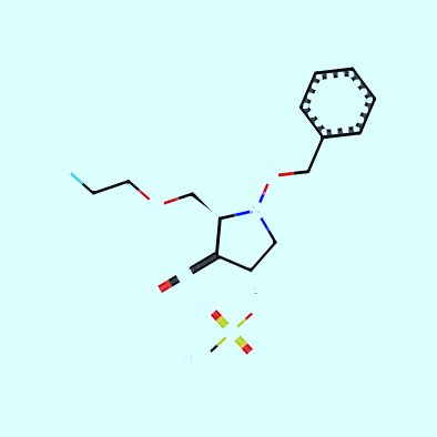 CS(=O)(=O)O[C@H]1CN(OCc2ccccc2)[C@H](COCCF)C1=C=O